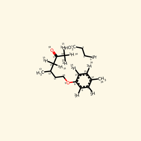 CC(C)CC[13C](=O)O.[2H]c1c([2H])c(OCCC(C)C([2H])([2H])C(=O)C([2H])([2H])[2H])c([2H])c([2H])c1C